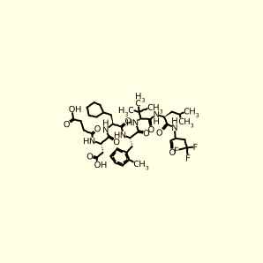 Cc1ccccc1C[C@H](NC(=O)[C@H](CC1CCCCC1)NC(=O)[C@H](CC(=O)O)NC(=O)CCC(=O)O)C(=O)N[C@H](C(=O)N[C@@H](CC(C)C)C(=O)NC(C=O)CC(F)(F)F)C(C)(C)C